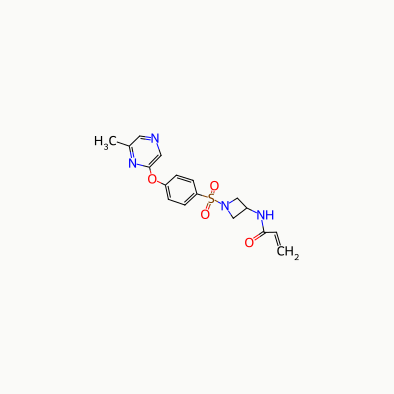 C=CC(=O)NC1CN(S(=O)(=O)c2ccc(Oc3cncc(C)n3)cc2)C1